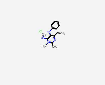 CCc1nc(C)[n+](C)c(NC)c1Nc1ccccc1.[Cl-]